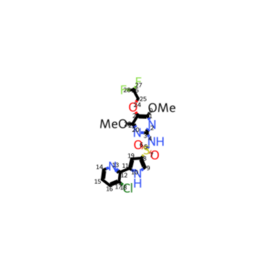 COc1nc(NS(=O)(=O)c2c[nH]c(-c3ncccc3Cl)c2)nc(OC)c1OCC(F)F